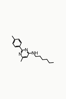 CCCCCCNc1cc(C)nc(-c2ccc(C)cc2)n1